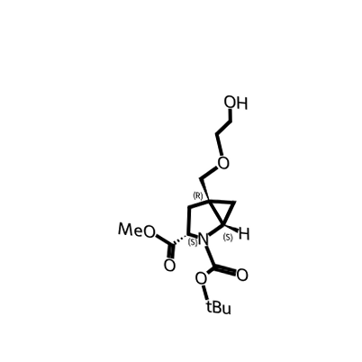 COC(=O)[C@@H]1C[C@]2(COCCO)C[C@@H]2N1C(=O)OC(C)(C)C